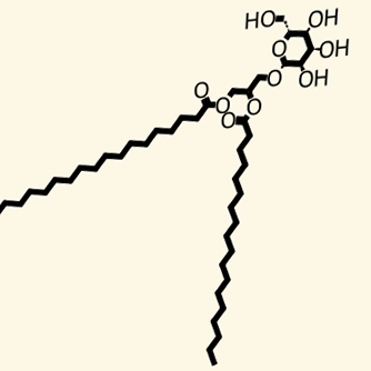 CCCCCCCCCCCCCCCCCC(=O)OCC(CO[C@@H]1O[C@H](CO)[C@H](O)[C@H](O)[C@H]1O)OC(=O)CCCCCCCCCCCCCCCCC